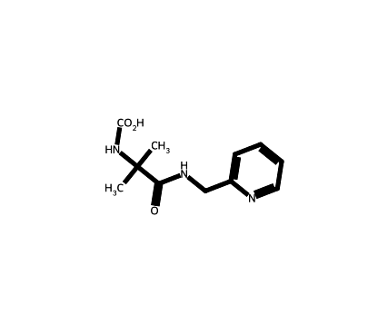 CC(C)(NC(=O)O)C(=O)NCc1ccccn1